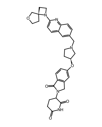 O=C1CCC(N2Cc3cc(O[C@H]4CCN(Cc5ccc6nc(N7CC[C@]78CCOC8)ccc6c5)C4)ccc3C2=O)C(=O)N1